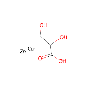 O=C(O)C(O)CO.[Cu].[Zn]